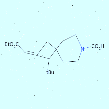 CCOC(=O)C=C1CC2(CCN(C(=O)O)CC2)C1C(C)(C)C